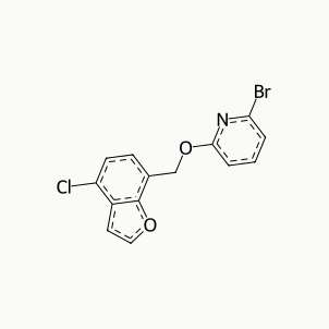 Clc1ccc(COc2cccc(Br)n2)c2occc12